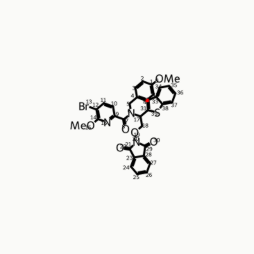 COc1ccc(CN(C(=O)c2ccc(Br)c(OC)n2)C(CON2C(=O)c3ccccc3C2=O)c2cc3ccccc3s2)cc1